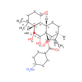 C=C1C(=O)[C@]23[C@H](OC(=O)C4CCC(N)CC4)[C@H]1CC[C@H]2[C@@]12COC3(O)[C@@H](O)[C@@H]1C(C)(C)CCC2=O